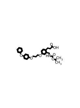 CC(C)OC(=O)NCc1cc(OCCCOc2ccc(Oc3ccccc3)cc2)ccc1CCC(=O)O